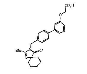 CCCCC1=NC2(CCCCC2)C(=O)N1Cc1ccc(-c2cccc(OCC(=O)O)c2)cc1